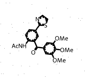 COc1cc(C(=O)c2cc(-c3nccs3)ccc2NC(C)=O)cc(OC)c1OC